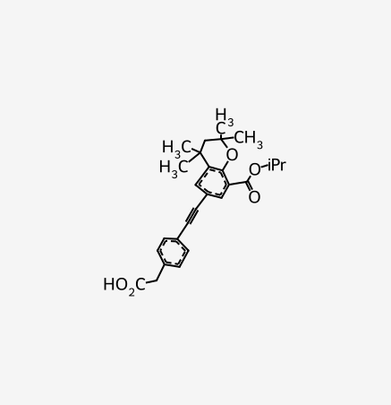 CC(C)OC(=O)c1cc(C#Cc2ccc(CC(=O)O)cc2)cc2c1OC(C)(C)CC2(C)C